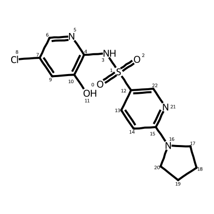 O=S(=O)(Nc1ncc(Cl)cc1O)c1ccc(N2CCCC2)nc1